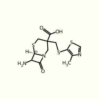 Cc1ncsc1SCC1(C(=O)O)CS[C@@H]2C(N)C(=O)N2C1